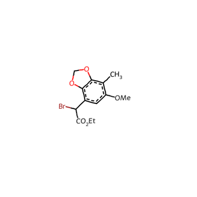 CCOC(=O)C(Br)c1cc(OC)c(C)c2c1OCO2